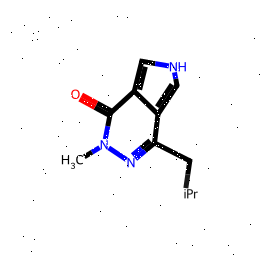 CC(C)Cc1nn(C)c(=O)c2c[nH]cc12